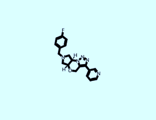 Fc1ccc(CN2C[C@@H]3[C@@H](C2)OCc2c(-c4cccnc4)nnn23)cc1